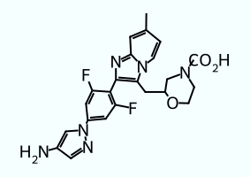 Cc1ccn2c(CC3CN(C(=O)O)CCO3)c(-c3c(F)cc(-n4cc(N)cn4)cc3F)nc2c1